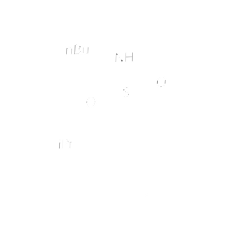 CCCCNS(=O)(=O)c1ccccc1C(C)C